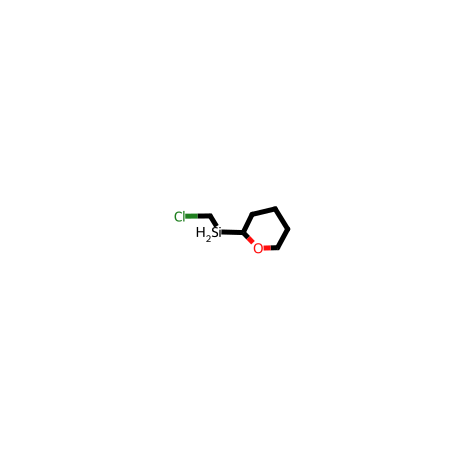 ClC[SiH2]C1CCCCO1